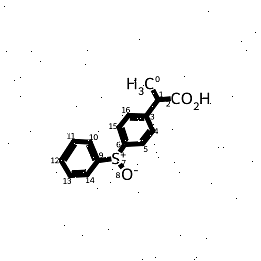 CC(C(=O)O)c1ccc([S+]([O-])c2ccccc2)cc1